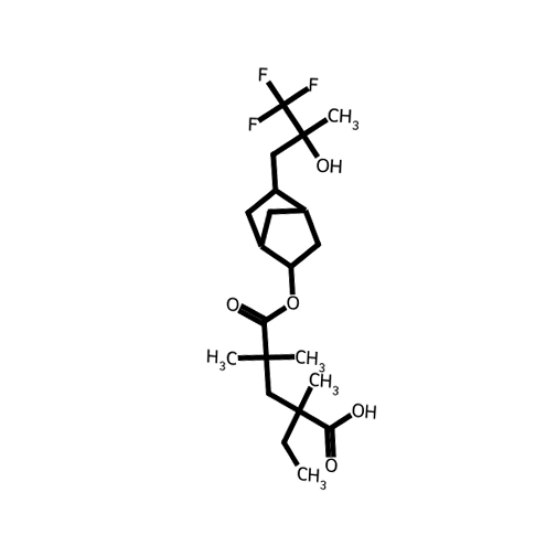 CCC(C)(CC(C)(C)C(=O)OC1CC2CC1CC2CC(C)(O)C(F)(F)F)C(=O)O